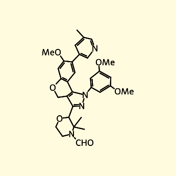 COc1cc(OC)cc(-n2nc(C3OCCN(C=O)C3(C)C)c3c2-c2cc(-c4cncc(C)c4)c(OC)cc2OC3)c1